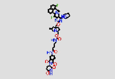 C#Cc1c(F)ccc2cccc(-c3ncc4c(N5CC6CCC(C5)N6)nc(OCC56CCC(COC(=O)NCCCCC(=O)Nc7ccc8c(c7)C(=O)N(C7CCC(=O)NC7=O)C8=O)N5CC(=C)C6)nc4c3F)c12